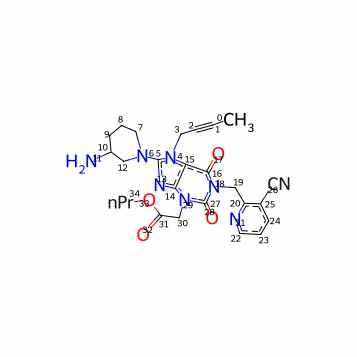 CC#CCn1c(N2CCCC(N)C2)nc2c1c(=O)n(Cc1ncccc1C#N)c(=O)n2CC(=O)OCCC